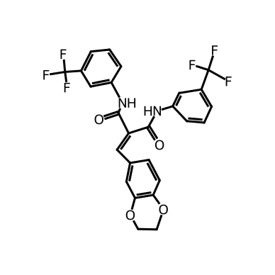 O=C(Nc1cccc(C(F)(F)F)c1)C(=Cc1ccc2c(c1)OCCO2)C(=O)Nc1cccc(C(F)(F)F)c1